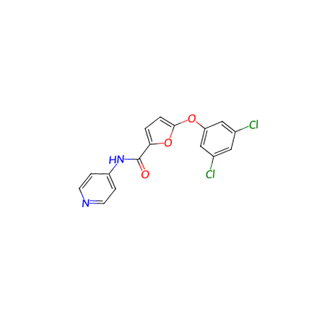 O=C(Nc1ccncc1)c1ccc(Oc2cc(Cl)cc(Cl)c2)o1